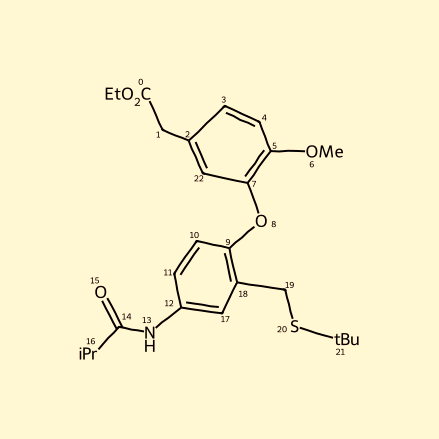 CCOC(=O)Cc1ccc(OC)c(Oc2ccc(NC(=O)C(C)C)cc2CSC(C)(C)C)c1